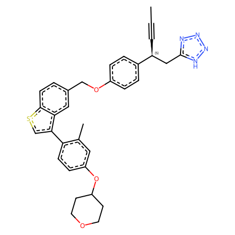 CC#C[C@@H](Cc1nnn[nH]1)c1ccc(OCc2ccc3scc(-c4ccc(OC5CCOCC5)cc4C)c3c2)cc1